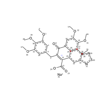 COc1cc(C/C(C(=O)c2cc(OC)c(OC)c(OC)c2)=C(\C(=O)[O-])c2ccc3nsnc3c2)cc(OC)c1OC.[Na+]